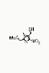 CSCc1nc([N+](=O)[O-])c(CS)n1C